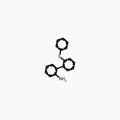 Nc1ccccc1-c1ccccc1Sc1ccccc1